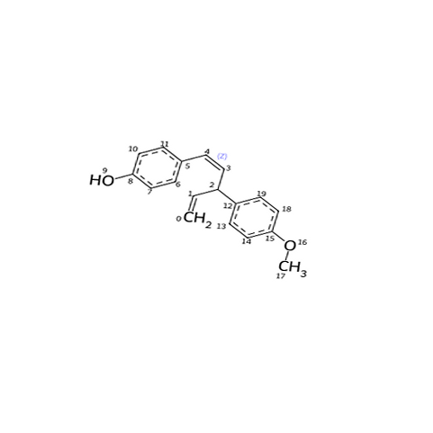 C=CC(/C=C\c1ccc(O)cc1)c1ccc(OC)cc1